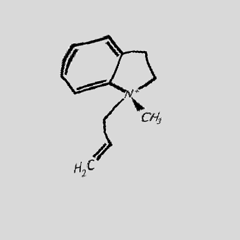 C=CC[N@@+]1(C)CCc2ccccc21